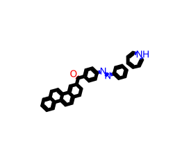 C1=CC=CNC=C1.O=C(c1ccc(N=Nc2ccccc2)cc1)C1C=c2c(ccc3c2=CCc2ccccc2-3)CC1